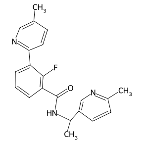 Cc1ccc(-c2cccc(C(=O)NC(C)c3ccc(C)nc3)c2F)nc1